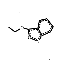 CCOc1onc2ccccc12